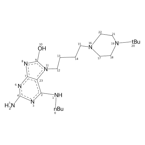 CCCCNc1nc(N)nc2nc(O)n(CCCCN3CCN(C(C)(C)C)CC3)c12